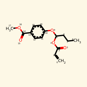 C=CC(=O)OC(CCC)Oc1ccc(C(=O)OC)cc1